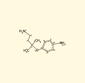 CC(C)(CCN)Oc1ccc(N)cc1